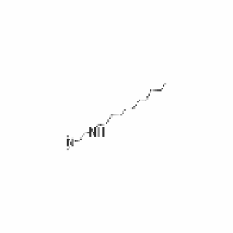 CCCCCCCCCCCNCCN(C)C